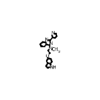 CN(CCOc1ccc2[nH]ccc2c1)c1nc(-c2cccnc2)nc2ccccc12